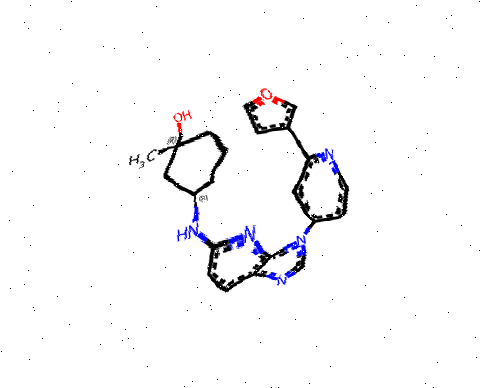 C[C@@]1(O)CCC[C@@H](Nc2ccc3ncn(-c4ccnc(-c5ccoc5)c4)c3n2)C1